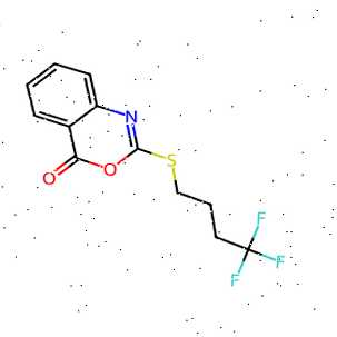 O=c1oc(SCCCC(F)(F)F)nc2ccccc12